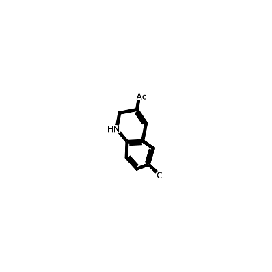 CC(=O)C1=Cc2cc(Cl)ccc2NC1